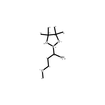 COCCC(N)B1OC(C)(C)C(C)(C)O1